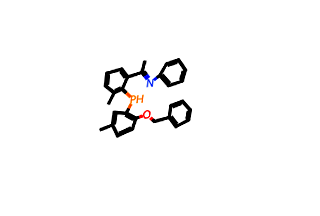 C/C(=N\c1ccccc1)c1cccc(C)c1Pc1cc(C)ccc1OCc1ccccc1